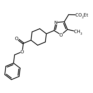 CCOC(=O)Cc1nc(C2CCC(C(=O)OCc3ccccc3)CC2)oc1C